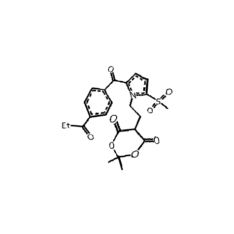 CCC(=O)c1ccc(C(=O)c2ccc(S(C)(=O)=O)n2CCC2C(=O)OC(C)(C)OC2=O)cc1